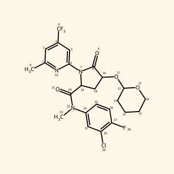 Cc1cc(C(F)(F)F)cc(N2C(=O)C(OC3CCCCO3)CC2C(=O)N(C)c2ccc(F)c(Cl)c2)n1